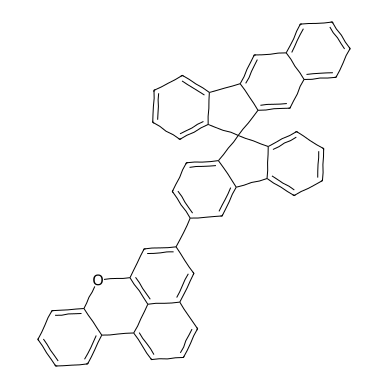 c1ccc2c(c1)Oc1cc(-c3ccc4c(c3)-c3ccccc3C43c4ccccc4-c4cc5ccccc5cc43)cc3cccc-2c13